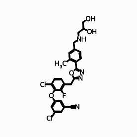 Cc1cc(CNCC(O)CO)ccc1-c1nnc(Cc2ccc(Cl)c(Oc3cc(Cl)cc(C#N)c3)c2F)o1